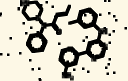 CC=CC(=O)N(c1ccccc1)N1CCNCC1.Cc1cccc(Nc2cc(-c3cccc(N)c3)ncn2)c1